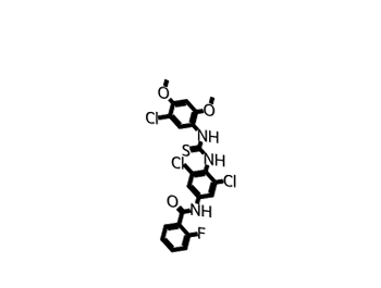 COc1cc(OC)c(NC(=S)Nc2c(Cl)cc(NC(=O)c3ccccc3F)cc2Cl)cc1Cl